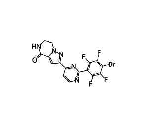 O=C1NCCn2nc(-c3ccnc(-c4c(F)c(F)c(Br)c(F)c4F)n3)cc21